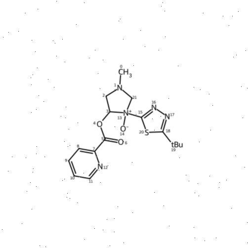 CN1CC(OC(=O)c2ccccn2)[N+]([O-])(c2nnc(C(C)(C)C)s2)C1